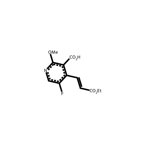 CCOC(=O)C=Cc1c(F)cnc(OC)c1C(=O)O